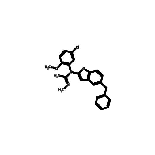 CN=C(N)N(c1cc2cc(Cc3ccccc3)ccc2o1)c1cc(Cl)ccc1OC